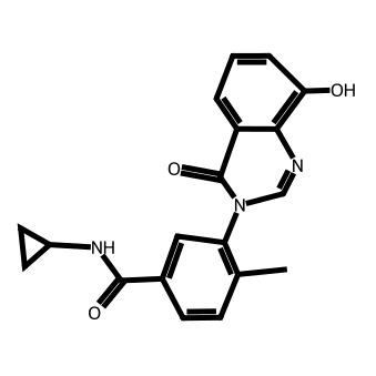 Cc1ccc(C(=O)NC2CC2)cc1-n1cnc2c(O)cccc2c1=O